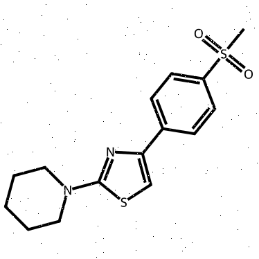 CS(=O)(=O)c1ccc(-c2csc(N3CCCCC3)n2)cc1